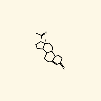 CC(=O)[C@H]1CCC2C3CCC4=CC(=O)CCC4C3CC[C@@]21C